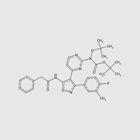 Cc1cc(-c2noc(NC(=O)Cc3ccccc3)c2-c2ccnc(N(OC(C)(C)C)C(=O)OC(C)(C)C)n2)ccc1F